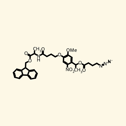 COc1cc(C(C)OC(=O)CCCN=[N+]=[N-])c([N+](=O)[O-])cc1OCCCC(=O)NC(C)C(=O)OCC1c2ccccc2-c2ccccc21